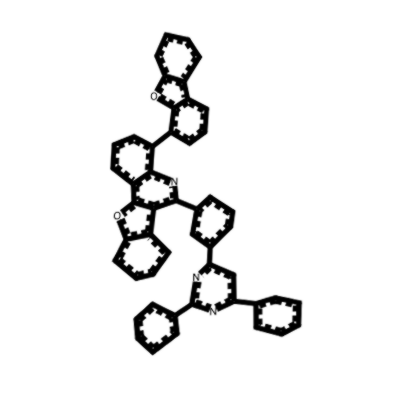 c1ccc(-c2cc(-c3cccc(-c4nc5c(-c6cccc7c6oc6ccccc67)cccc5c5oc6ccccc6c45)c3)nc(-c3ccccc3)n2)cc1